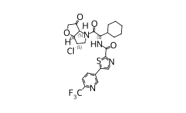 O=C(N[C@H](C(=O)N1C[C@H](Cl)[C@H]2OCC(=O)[C@H]21)C1CCCCC1)c1ncc(-c2ccc(C(F)(F)F)nc2)s1